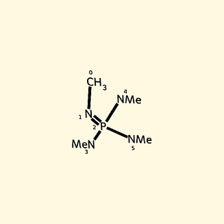 CN=P(NC)(NC)NC